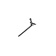 [CH2]CCC(CCC(C)CCCC(C)C)OC(=O)CCCCCCCCCCCCCCCCCCCCC